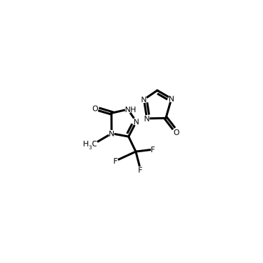 Cn1c(C(F)(F)F)n[nH]c1=O.O=C1N=CN=N1